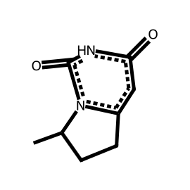 CC1CCc2cc(=O)[nH]c(=O)n21